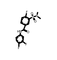 CN(C)S(=O)(=O)c1cc(C(=O)Nc2ccc(F)c(F)c2)ccc1F